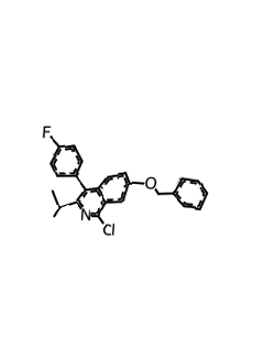 CC(C)c1nc(Cl)c2cc(OCc3ccccc3)ccc2c1-c1ccc(F)cc1